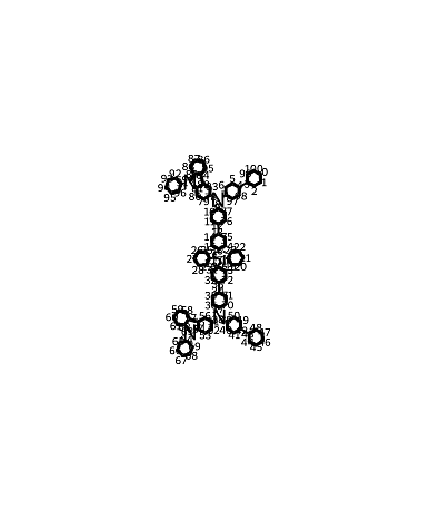 c1ccc(-c2ccc(N(c3ccc(-c4ccc([Si](c5ccccc5)(c5ccccc5)c5ccc(-c6ccc(N(c7ccc(-c8ccccc8)cc7)c7ccc8c(c7)c7ccccc7n8-c7ccccc7)cc6)cc5)cc4)cc3)c3ccc4c(c3)c3ccccc3n4-c3ccccc3)cc2)cc1